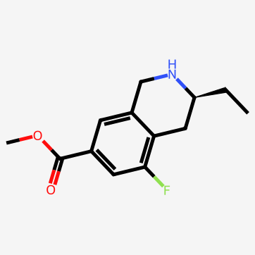 CC[C@H]1Cc2c(F)cc(C(=O)OC)cc2CN1